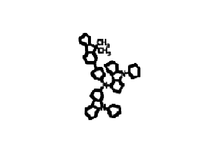 CC1(C)c2ccccc2-c2ccc(-c3ccc(N(c4ccc5c6ccccc6n(-c6ccccc6)c5c4)c4cccc5c4c4ccccc4n5-c4ccccc4)cc3)cc21